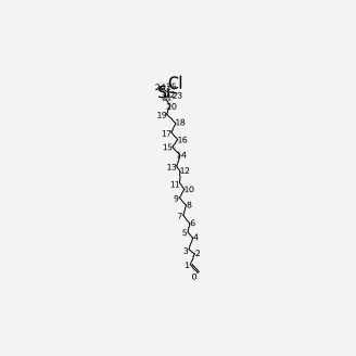 C=CCCCCCCCCCCCCCCCCCCCC[Si](C)(C)Cl